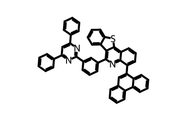 c1ccc(-c2cc(-c3ccccc3)nc(-c3cccc(-c4nc5c(-c6cc7ccccc7c7ccccc67)cccc5c5sc6ccccc6c45)c3)n2)cc1